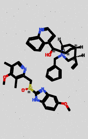 C=C[C@H]1C[N+]2(Cc3ccccc3)CC[C@H]1C[C@@H]2[C@@H](O)c1ccnc2ccccc12.COc1ccc2[nH]c([S@@+]([O-])Cc3ncc(C)c(OC)c3C)nc2c1